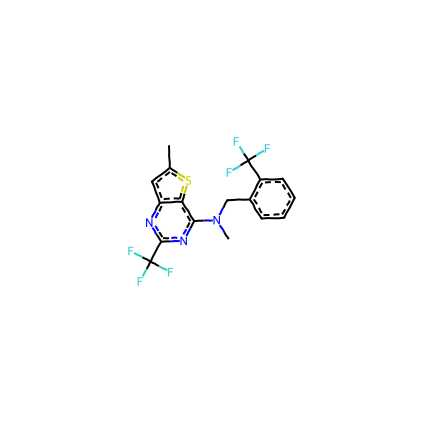 Cc1cc2nc(C(F)(F)F)nc(N(C)Cc3ccccc3C(F)(F)F)c2s1